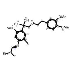 CCN(C)/C=N/c1cc(OC)c(C(O)(COCCc2ccc(OC)c(OC)c2)C(F)(F)F)cc1C